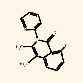 Cc1c(C(=O)O)c2cccc(F)c2c(=O)n1-c1ccccn1